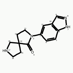 O=C1N(c2ccc3[nH]ncc3c2)CCC12CCNC2